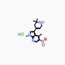 Cc1c([N+](=O)[O-])cnc2c1c(C1=CCNC(C)(C)C1)cn2C.Cl